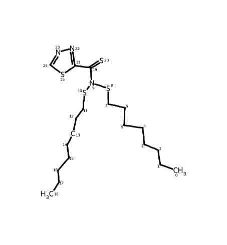 CCCCCCCCSN(SCCCCCCCC)C(=S)c1nncs1